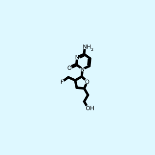 Nc1ccn(C2OC(CCO)CC2CF)c(=O)n1